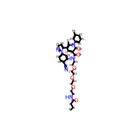 CCCC(=O)NCCOCCOCCOCCNC(=O)c1cc(-c2ccnn2-c2ccc(C#N)cc2)c(C)n(-c2cccc(C)c2)c1=O